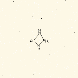 [NH]1P[NH][Ru]1